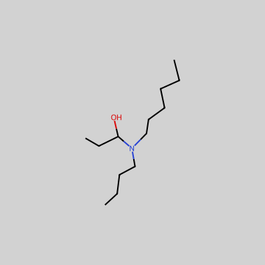 CCCCCCN(CCCC)C(O)CC